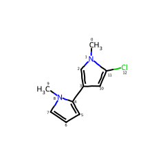 Cn1cc(-c2cccn2C)cc1Cl